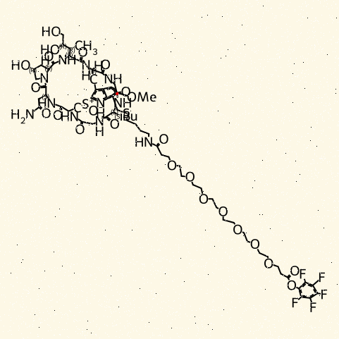 CC[C@H](C)[C@@H]1NC(=O)CNC(=O)[C@@H]2Cc3c([nH]c4c(CSCCCCNC(=O)CCOCCOCCOCCOCCOCCOCCOCCC(=O)Oc5c(F)c(F)c(F)c(F)c5F)c(OC)ccc34)[S+]([O-])CC(NC(=O)CNC1=O)C(=O)N[C@@H](CC(N)=O)C(=O)N1C[C@H](O)C[C@H]1C(=O)N[C@@H]([C@@H](C)[C@@H](O)CO)C(=O)N2